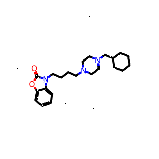 O=c1oc2ccccc2n1CCCCN1CCN(CC2CCCCC2)CC1